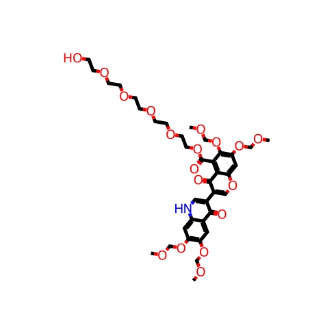 COCOc1cc2[nH]cc(-c3coc4cc(OCOC)c(OCOC)c(C(=O)OCCOCCOCCOCCOCCO)c4c3=O)c(=O)c2cc1OCOC